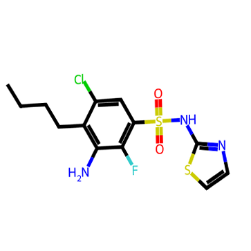 CCCCc1c(Cl)cc(S(=O)(=O)Nc2nccs2)c(F)c1N